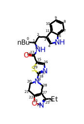 CCCCC(Cc1c[nH]c2ccccc12)NC(=O)c1cnc(N2CCc3onc(CC)c3C2)s1